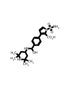 CC1(C)CC(NC(O)c2ccc(-c3ccn(S(N)(=O)=O)c3C(=O)O)cc2)CC(C)(C)N1